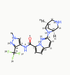 Cn1cc(NC(=O)c2ccc3ccc(N4C[C@H]5CNC[C@@H]4C5)nn23)c(C(F)(F)F)n1